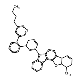 CCCCc1cncc(-c2ccccc2C2C=C(n3c4ccccc4c4c5c(ccc43)C3C=CCC(C)C3O5)C=CC2)c1